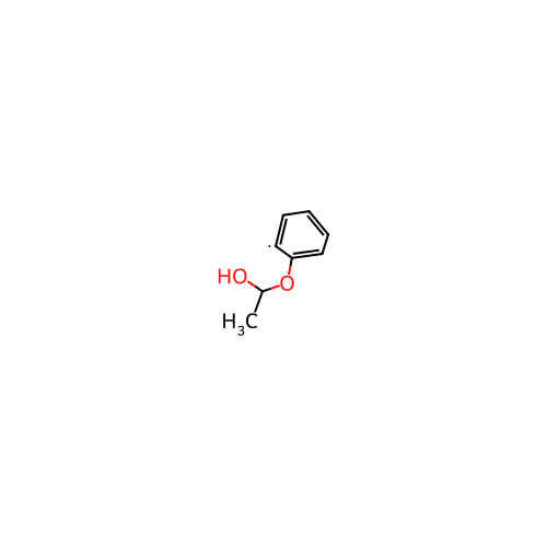 CC(O)Oc1[c]cccc1